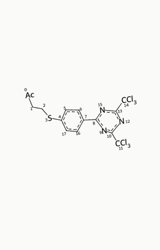 CC(=O)CCSc1ccc(-c2nc(C(Cl)(Cl)Cl)nc(C(Cl)(Cl)Cl)n2)cc1